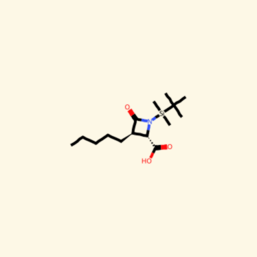 CCCCC[C@H]1C(=O)N([Si](C)(C)C(C)(C)C)[C@@H]1C(=O)O